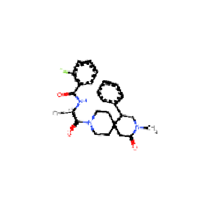 CC(C)[C@@H](NC(=O)c1ccccc1F)C(=O)N1CCC2(CC1)CC(=O)N(C)CC2c1ccccc1